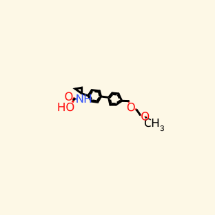 COCCOCc1ccc(-c2ccc(C3(NC(=O)O)CC3)cc2)cc1